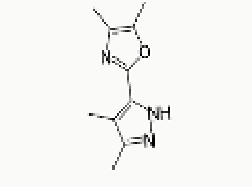 Cc1nc(-c2[nH]nc(C)c2C)oc1C